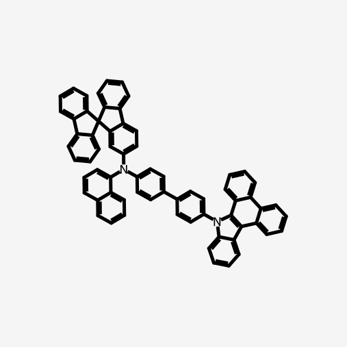 c1ccc2c(c1)-c1ccccc1C21c2ccccc2-c2ccc(N(c3ccc(-c4ccc(-n5c6ccccc6c6c7ccccc7c7ccccc7c65)cc4)cc3)c3cccc4ccccc34)cc21